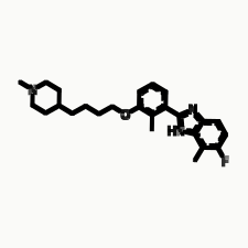 Cc1c(OCCCCC2CCN(C)CC2)cccc1-c1nc2ccc(F)c(C)c2[nH]1